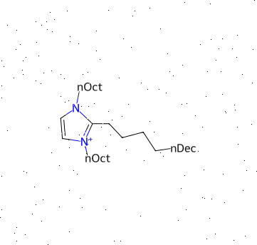 CCCCCCCCCCCCCCc1n(CCCCCCCC)cc[n+]1CCCCCCCC